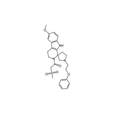 COc1ccc2[nH]c3c(c2c1)CCN(C(=O)CS(C)(=O)=O)C31CCN(CCOc2ccccc2)C1